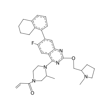 C=CC(=O)N1CCN(c2nc(OCC3CCCN3C)nc3cc(-c4cccc5c4CCCC5)c(F)cc23)C(C)C1